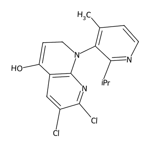 Cc1ccnc(C(C)C)c1N1CC=C(O)c2cc(Cl)c(Cl)nc21